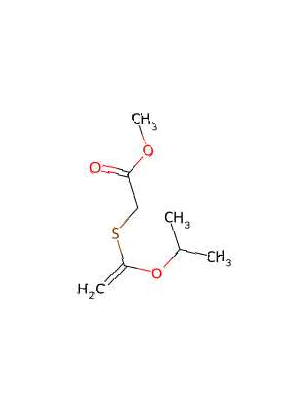 C=C(OC(C)C)SCC(=O)OC